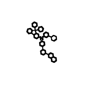 C1=CCC(c2cccc(N(c3ccc(-c4cccc(-c5ccc6ccccc6c5)c4)cc3)c3ccc4c(c3)C(c3ccccc3)(c3ccccc3)c3ccccc3-4)c2)CC1